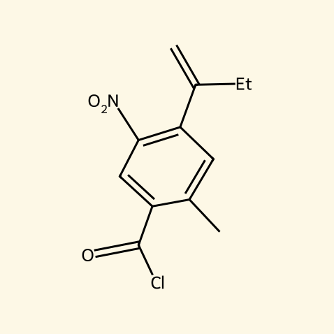 C=C(CC)c1cc(C)c(C(=O)Cl)cc1[N+](=O)[O-]